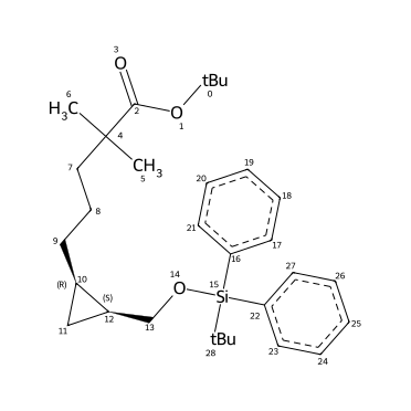 CC(C)(C)OC(=O)C(C)(C)CCC[C@@H]1C[C@@H]1CO[Si](c1ccccc1)(c1ccccc1)C(C)(C)C